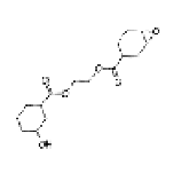 O=C(OCCOC(=O)C1CCC2OC2C1)C1CCCC(O)C1